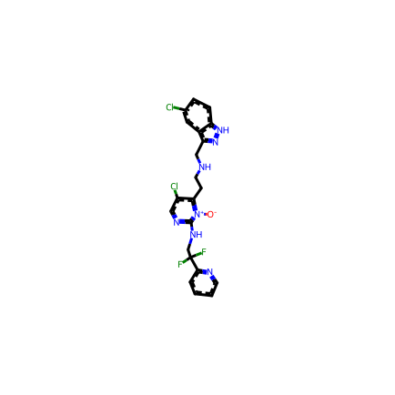 [O-][n+]1c(NCC(F)(F)c2ccccn2)ncc(Cl)c1CCNCc1n[nH]c2ccc(Cl)cc12